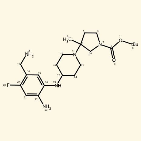 CC(C)(C)OC(=O)N1CCC(C)(N2CCC(Nc3cc(CN)c(F)cc3N)CC2)C1